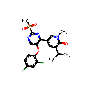 CC(C)c1cc(-c2nc(S(C)(=O)=O)ncc2Oc2ccc(F)cc2F)cn(C)c1=O